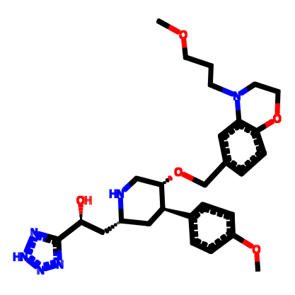 COCCCN1CCOc2ccc(CO[C@H]3CN[C@@H](C[C@@H](O)c4nn[nH]n4)C[C@@H]3c3ccc(OC)cc3)cc21